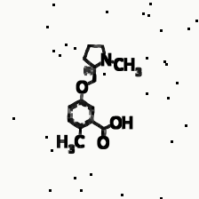 Cc1ccc(OC[C@H]2CCCN2C)cc1C(=O)O